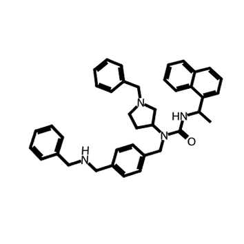 CC(NC(=O)N(Cc1ccc(CNCc2ccccc2)cc1)C1CCN(Cc2ccccc2)C1)c1cccc2ccccc12